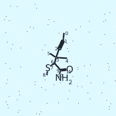 CC#CC(C)(C)C(SC)C(N)=O